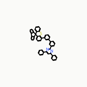 c1ccc(-c2cc(-c3ccccc3)nc(-c3cccc(-c4cccc(-c5cccc6c5Sc5ccccc5C65c6ccccc6-c6ccccc65)c4)c3)n2)cc1